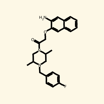 CC1CN(C(=O)COc2cc3ccccc3cc2N)C(C)CN1Cc1ccc(F)cc1